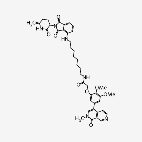 C=C1CCC(N2C(=O)c3cccc(NCCCCCCCCNC(=O)COc4cc(-c5cn(C)c(=O)c6cnccc56)cc(OC)c4OC)c3C2=O)C(=O)N1